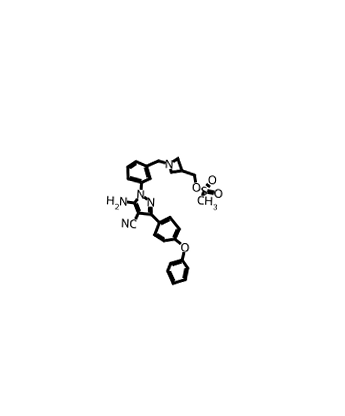 CS(=O)(=O)OCC1CN(Cc2cccc(-n3nc(-c4ccc(Oc5ccccc5)cc4)c(C#N)c3N)c2)C1